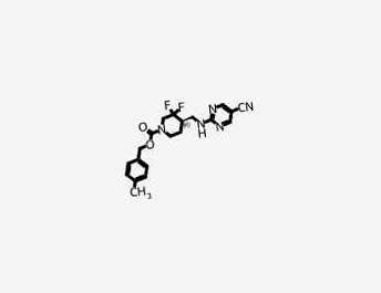 Cc1ccc(COC(=O)N2CC[C@H](CNc3ncc(C#N)cn3)C(F)(F)C2)cc1